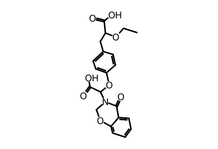 CCOC(Cc1ccc(OC(C(=O)O)N2COc3ccccc3C2=O)cc1)C(=O)O